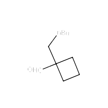 CCCCCC1(C=O)CCC1